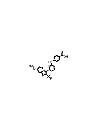 COc1ccn2c(-c3ccnc(Nc4ccc(C(=O)O)cc4)n3)c(C(F)(F)F)nc2c1